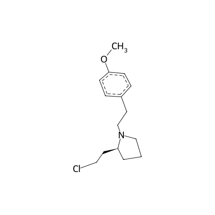 COc1ccc(CCN2CCC[C@H]2CCCl)cc1